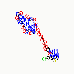 Cc1sc2c(c1C)C(c1ccc(Cl)cc1)=N[C@@H](CC(=O)Nc1ccc(OCCOCCOCCOCCOCCOCCNC(=O)CCNC(=O)c3cc(NC(=O)CCNC(=O)c4c(NC(=O)c5cc(NC(=O)CCNC(=O)c6cc(NC(=O)c7nccn7C)cn6C)cn5C)ccn4C)cn3C)cc1)c1nnc(C)n1-2